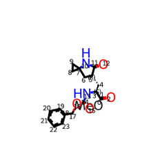 COC(=O)[C@H](C[C@@H]1CC2(CC2)NC1=O)NC(=O)OCc1ccccc1